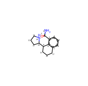 NC(=O)c1cccc2c1C(C1CCCN1)CCC2